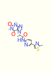 Cc1nc(-c2ccc(NC(=O)C(C)n3cnc4c3c(=O)n(C)c(=O)n4C)nc2)cs1